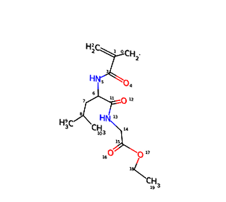 [CH2]C(=C)C(=O)NC(CC(C)C)C(=O)NCC(=O)OCC